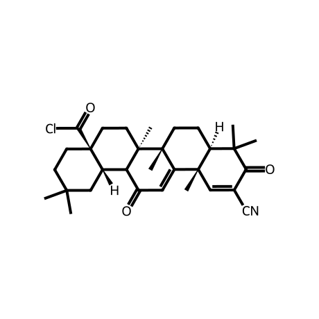 CC1(C)CC[C@]2(C(=O)Cl)CC[C@]3(C)C(C(=O)C=C4[C@@]5(C)C=C(C#N)C(=O)C(C)(C)[C@@H]5CC[C@]43C)[C@@H]2C1